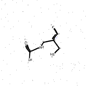 O=C(O)NC/C(=C\F)CS